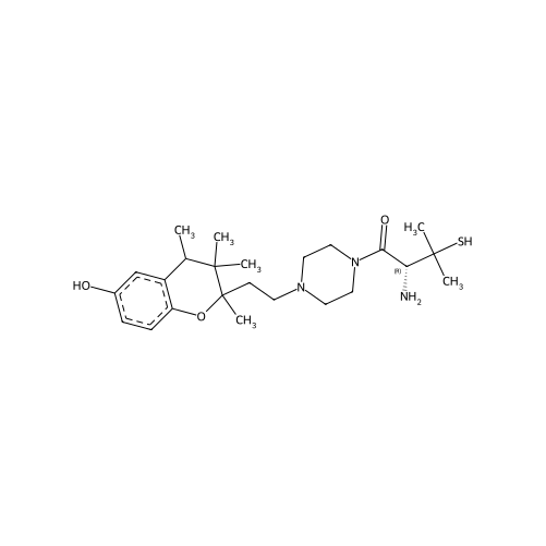 CC1c2cc(O)ccc2OC(C)(CCN2CCN(C(=O)[C@@H](N)C(C)(C)S)CC2)C1(C)C